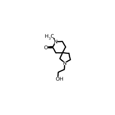 CN1CCC2(CCN(CCO)C2)CC1=O